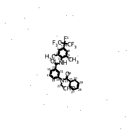 Cc1cc(C(F)(C(F)(F)F)C(F)(F)F)cc(C)c1NC(=O)c1cccc(N(CC=O)C(=O)C2C=CC=CC2)c1